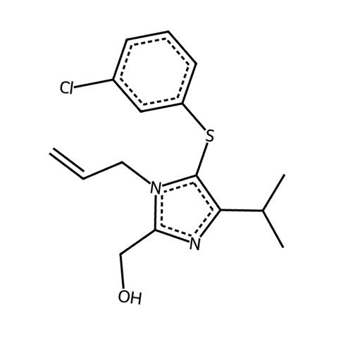 C=CCn1c(CO)nc(C(C)C)c1Sc1cccc(Cl)c1